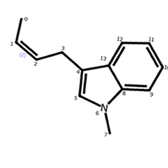 C/C=C\Cc1cn(C)c2ccccc12